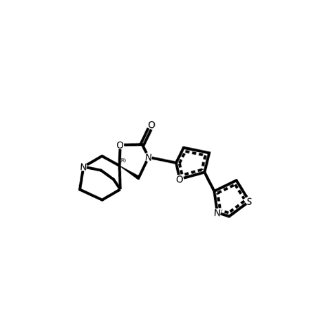 O=C1O[C@]2(CN3CCC2CC3)CN1c1ccc(-c2cscn2)o1